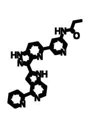 CCC(=O)Nc1cncc(-c2ccc3[nH]nc(-c4cc5c(-c6ccccn6)nccc5[nH]4)c3n2)c1